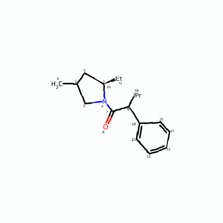 CC[C@@H]1CC(C)CN1C(=O)C(c1ccccc1)C(C)C